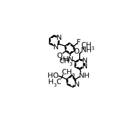 CNC(=O)c1nnc(Nc2cc(C(C)(C)O)ccn2)cc1Nc1cc(F)cc(-c2ncccn2)c1OC